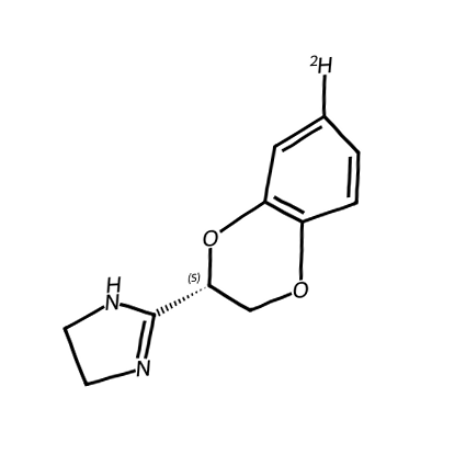 [2H]c1ccc2c(c1)O[C@@H](C1=NCCN1)CO2